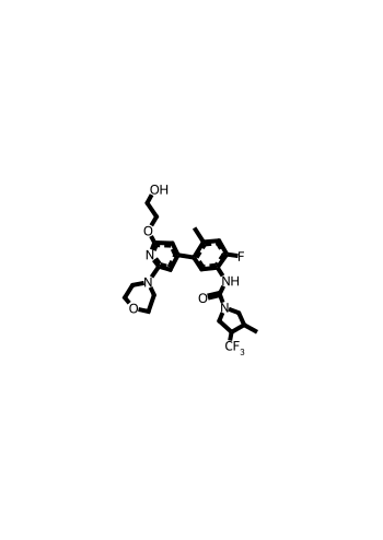 Cc1cc(F)c(NC(=O)N2CC(C)C(C(F)(F)F)C2)cc1-c1cc(OCCO)nc(N2CCOCC2)c1